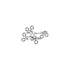 C=C1C(=CCP(=O)(c2ccccc2)c2ccccc2)CC(O[Si](c2ccccc2)(c2ccccc2)C(C)(C)C)C(OCCCO[Si](c2ccccc2)(c2ccccc2)C(C)(C)C)C1O[Si](c1ccccc1)(c1ccccc1)C(C)(C)C